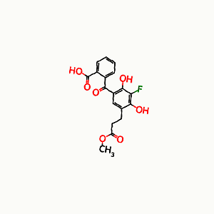 COC(=O)CCc1cc(C(=O)c2ccccc2C(=O)O)c(O)c(F)c1O